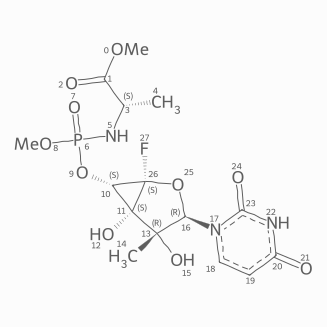 COC(=O)[C@H](C)NP(=O)(OC)O[C@H]1[C@]2(O)[C@@](C)(O)[C@H](n3ccc(=O)[nH]c3=O)O[C@]12F